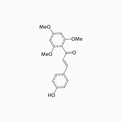 COc1cc(OC)c(C(=O)/C=C/c2ccc(O)cc2)c(OC)c1